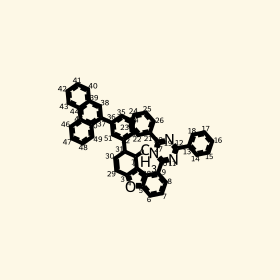 CC1c2c(oc3cccc(-c4nc(-c5ccccc5)nc(-c5ccccc5)n4)c23)C=CC1c1cccc(-c2cc3ccccc3c3ccccc23)c1